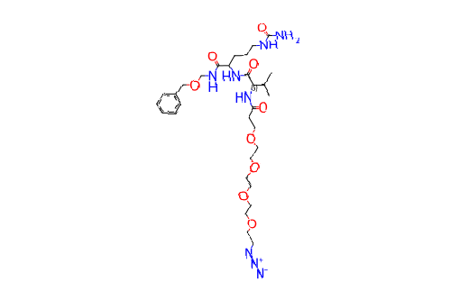 CC(C)[C@H](NC(=O)CCOCCOCCOCCOCCN=[N+]=[N-])C(=O)NC(CCCNC(N)=O)C(=O)NCOCc1ccccc1